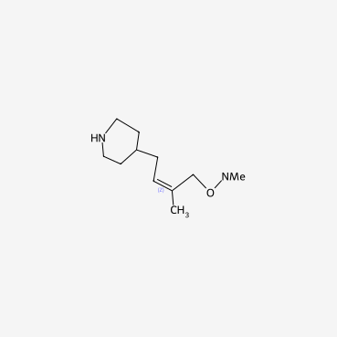 CNOC/C(C)=C\CC1CCNCC1